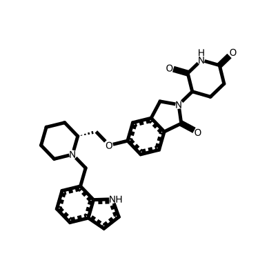 O=C1CCC(N2Cc3cc(OC[C@H]4CCCCN4Cc4cccc5cc[nH]c45)ccc3C2=O)C(=O)N1